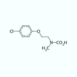 CN(CCOc1ccc(Cl)cc1)C(=O)O